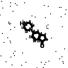 O=C1CCc2cc(N3CCNCC3)ccc21